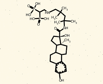 CC(C)(CNCC(P(=O)(O)O)P(=O)(O)O)CC(C)(C)NC(=O)[C@@]1(O)CCC2C3CCc4cc(O)ccc4C3CC[C@@]21C